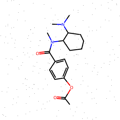 CC(=O)Oc1ccc(C(=O)N(C)C2CCCCC2N(C)C)cc1